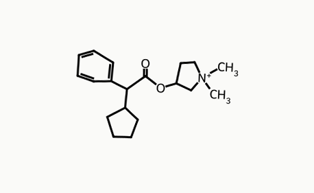 C[N+]1(C)CCC(OC(=O)C(c2ccccc2)C2CCCC2)C1